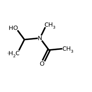 [CH2]C(O)N(C)C(C)=O